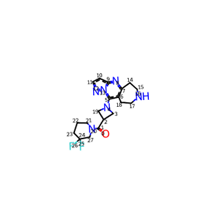 O=C(C1CN(c2c3c(nc4ccnn24)CCNCC3)C1)N1CCCC(F)(F)C1